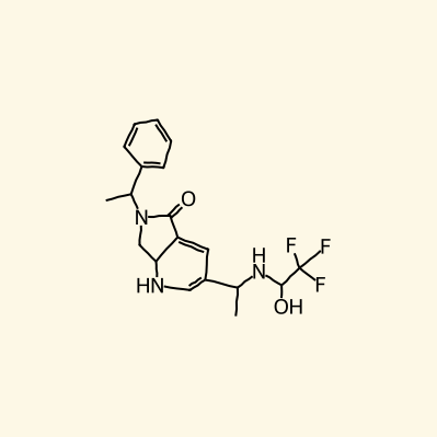 CC(NC(O)C(F)(F)F)C1=CNC2CN(C(C)c3ccccc3)C(=O)C2=C1